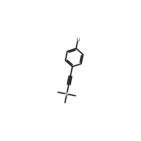 [Li][c]1ccc(C#C[Si](C)(C)C)cc1